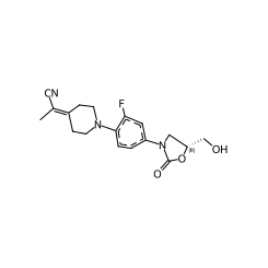 CC(C#N)=C1CCN(c2ccc(N3C[C@H](CO)OC3=O)cc2F)CC1